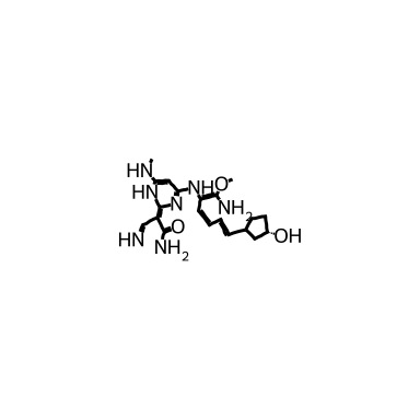 CNC1=CC(NC(/C=C\C=C\C2CC[C@H](O)C2)=C(/N)OC)=N/C(=C(/C=N)C(N)=O)N1